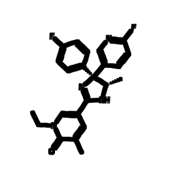 CCn1cc(C2=N[C@@](c3ccc(F)cc3)(c3ccc(F)nc3)[C@H](C)N2)cc(C)c1=O